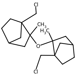 CC1(OC2(C)CC3CCC2(CCl)C3)CC2CCC1(CCl)C2